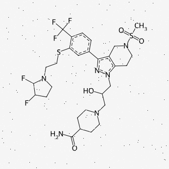 CS(=O)(=O)N1CCc2c(c(-c3ccc(C(F)(F)F)c(SCCN4CCC(F)C4F)c3)nn2CC(O)CN2CCC(C(N)=O)CC2)C1